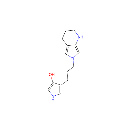 Oc1c[nH]cc1CCCn1cc2c(c1)NCCC2